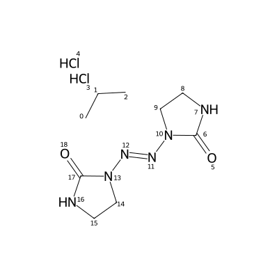 CCC.Cl.Cl.O=C1NCCN1N=NN1CCNC1=O